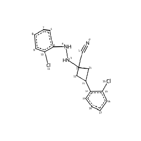 N#CC1(NNc2ccccc2Cl)CC(c2ccccc2Cl)C1